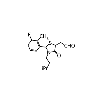 CC1=C(C2SC(CC=O)C(=O)N2CCC(C)C)C=CCC1F